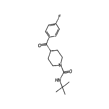 CC(C)(C)NC(=O)N1CCC(C(=O)c2ccc(F)cc2)CC1